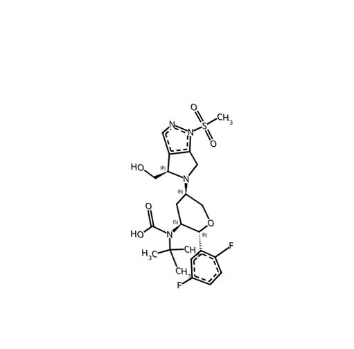 CC(C)(C)N(C(=O)O)[C@H]1C[C@@H](N2Cc3c(cnn3S(C)(=O)=O)[C@@H]2CO)CO[C@@H]1c1cc(F)ccc1F